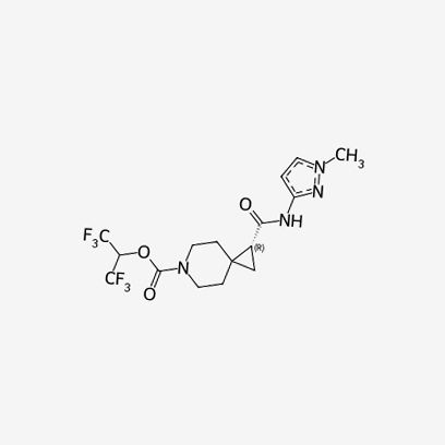 Cn1ccc(NC(=O)[C@@H]2CC23CCN(C(=O)OC(C(F)(F)F)C(F)(F)F)CC3)n1